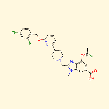 C[C@@H](F)Oc1cc(C(=O)O)cc2c1nc(CN1CCC(c3cccc(OCc4ccc(Cl)cc4F)n3)CC1)n2C